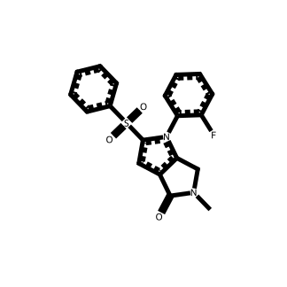 CN1Cc2c(cc(S(=O)(=O)c3ccccc3)n2-c2ccccc2F)C1=O